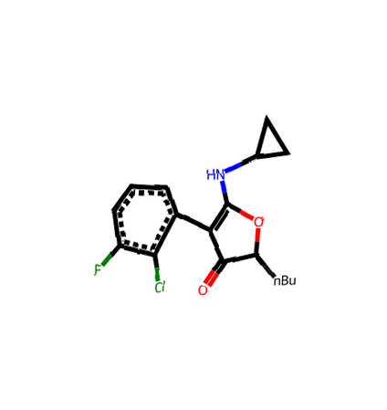 CCCCC1OC(NC2CC2)=C(c2cccc(F)c2Cl)C1=O